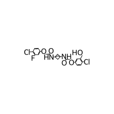 O=C(COc1ccc(Cl)c(F)c1)NC12CC(NC(=O)COc3ccc(Cl)c(CO)c3)(C1)C2